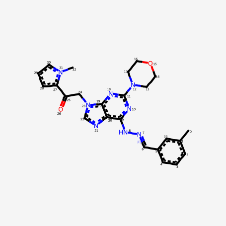 Cc1cccc(/C=N/Nc2nc(N3CCOCC3)nc3c2ncn3CC(=O)c2cccn2C)c1